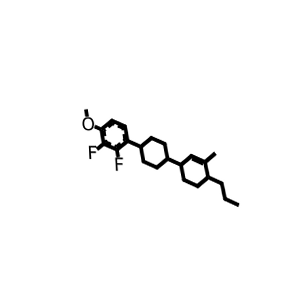 CCCC1CCC(C2CCC(c3ccc(OC)c(F)c3F)CC2)C=C1C